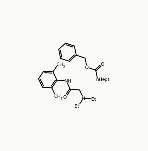 CCCCCCCC(=O)OCc1ccccc1.CCN(CC)CC(=O)Nc1c(C)cccc1C